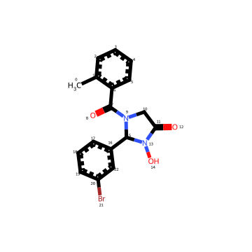 Cc1ccccc1C(=O)N1CC(=O)N(O)C1c1cccc(Br)c1